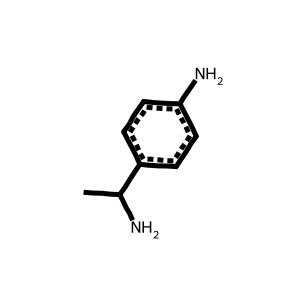 CC(N)c1ccc(N)cc1